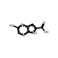 O=C(O)c1cc2nc(O)cnc2[nH]1